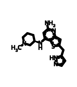 CN1CCC[C@@H](Nc2cc(N)nc3cc(Cc4ccn[nH]4)sc23)C1